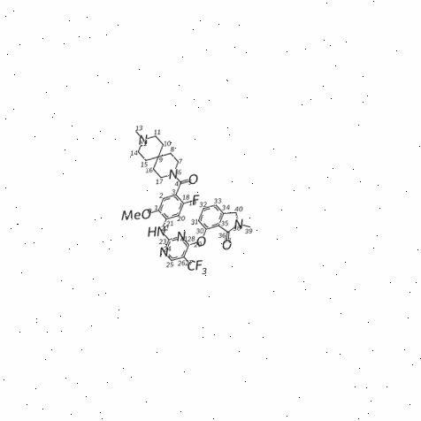 COc1cc(C(=O)N2CCC3(CCN(C)CC3)CC2)c(F)cc1Nc1ncc(C(F)(F)F)c(Oc2cccc3c2C(=O)N(C)C3)n1